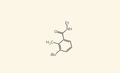 CCNC(=O)c1cccc(C(C)CC)c1C